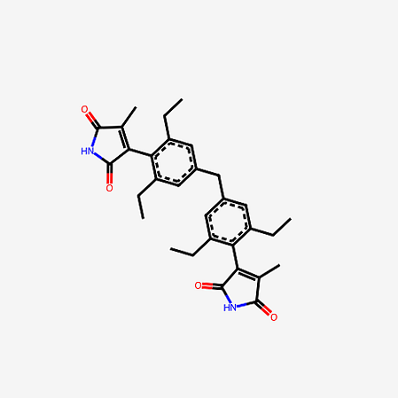 CCc1cc(Cc2cc(CC)c(C3=C(C)C(=O)NC3=O)c(CC)c2)cc(CC)c1C1=C(C)C(=O)NC1=O